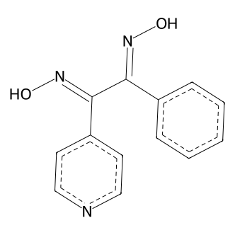 O/N=C(/C(=N/O)c1ccncc1)c1ccccc1